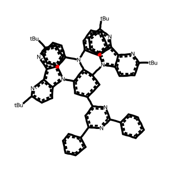 CC(C)(C)c1ccc2c(n1)c1nc(C(C)(C)C)ccc1n2-c1cc(-c2cc(-c3ccccc3)nc(-c3ccccc3)n2)cc(-n2c3ccc(C(C)(C)C)nc3c3nc(C(C)(C)C)ccc32)c1N(c1ccccc1)c1ccccc1